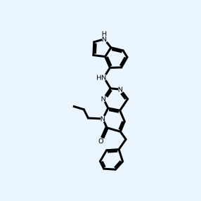 CCCn1c(=O)c(Cc2ccccc2)cc2cnc(Nc3cccc4[nH]ccc34)nc21